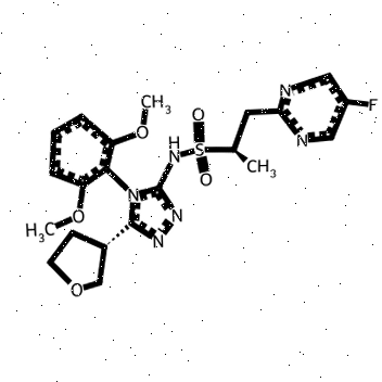 COc1cccc(OC)c1-n1c(NS(=O)(=O)[C@H](C)Cc2ncc(F)cn2)nnc1[C@H]1CCOC1